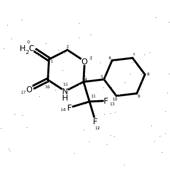 C=C1COC(C2CCCCC2)(C(F)(F)F)NC1=O